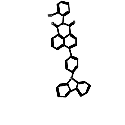 O=C1c2cccc3c(-c4ccc(-n5c6ccccc6c6ccccc65)cc4)ccc(c23)C(=O)N1c1ccccc1O